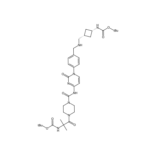 CC(C)(C)OC(=O)NC(C)(C)C(=O)N1CCN(C(=O)Nc2ccn(-c3ccc(CNC[C@H]4C[C@@H](NC(=O)OC(C)(C)C)C4)cc3)c(=O)n2)CC1